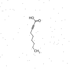 CCCCCCC#CC(=O)O